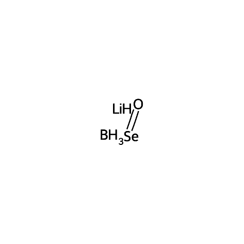 B.O=[Se].[LiH]